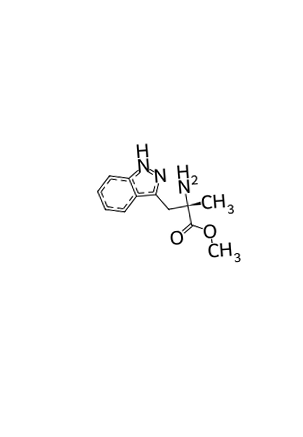 COC(=O)[C@@](C)(N)Cc1n[nH]c2ccccc12